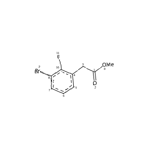 COC(=O)Cc1cccc(Br)c1F